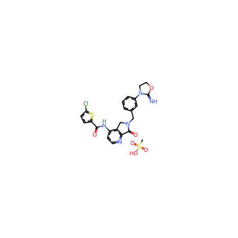 CS(=O)(=O)O.N=C1OCCN1c1cccc(CN2Cc3c(NC(=O)c4ccc(Cl)s4)ccnc3C2=O)c1